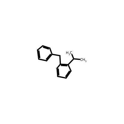 CC(C)c1ccc[c]c1Cc1ccccc1